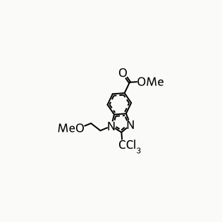 COCCn1c(C(Cl)(Cl)Cl)nc2cc(C(=O)OC)ccc21